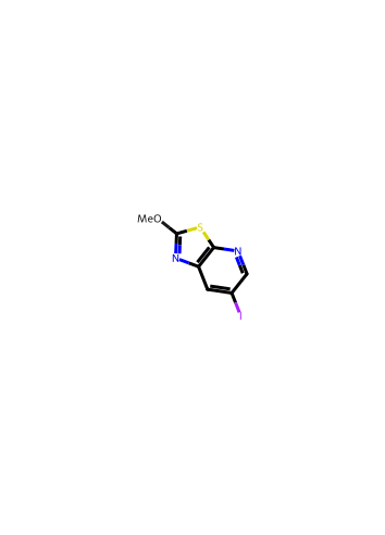 COc1nc2cc(I)cnc2s1